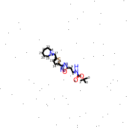 CC(C)(C)OC(=O)NCCc1nc(-c2ccc(CN3CCCCCC3)s2)no1